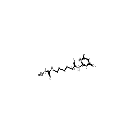 Cc1cc(=O)nc(NC(=O)NCCCCOC(=O)NC(C)(C)C)[nH]1